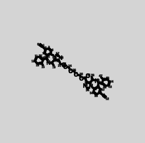 C#Cc1ccc2c(c1)C(c1ccccc1C)=NC(C)c1c(COOCOCOCOC(=O)c3ncn4c3C(C)N=C(c3ccccc3C)c3cc(C#C)ccc3-4)ncn1-2